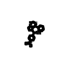 O=[N+]([O-])c1ccc(C2Nc3ccccc3-c3ncnn4ccc2c34)cc1